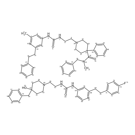 Cc1cc(NC(=O)NCCN2CCC(C(=O)N(C)Cc3ccccc3)(c3ccccc3)CC2)cc(CCc2ccccc2)n1.O=C(NCCN1CCC(O)(Cc2ccccc2)CC1)Nc1ccnc(CCc2ccc(F)cc2)c1